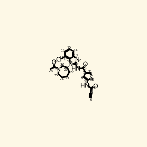 C#CC(=O)Nc1cc(C(=O)Nc2nc3cccc(Cl)c3n2[C@@H]2CCCCN(C(C)=O)C2)cs1